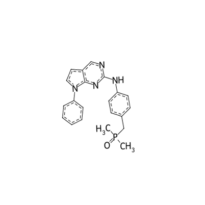 CP(C)(=O)Cc1ccc(Nc2ncc3ccn(-c4ccccc4)c3n2)cc1